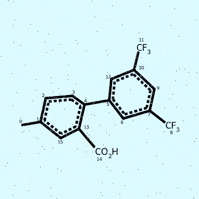 Cc1ccc(-c2cc(C(F)(F)F)cc(C(F)(F)F)c2)c(C(=O)O)c1